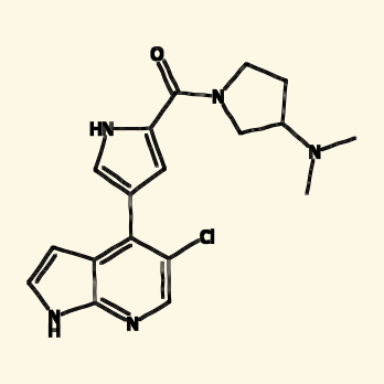 CN(C)C1CCN(C(=O)c2cc(-c3c(Cl)cnc4[nH]ccc34)c[nH]2)C1